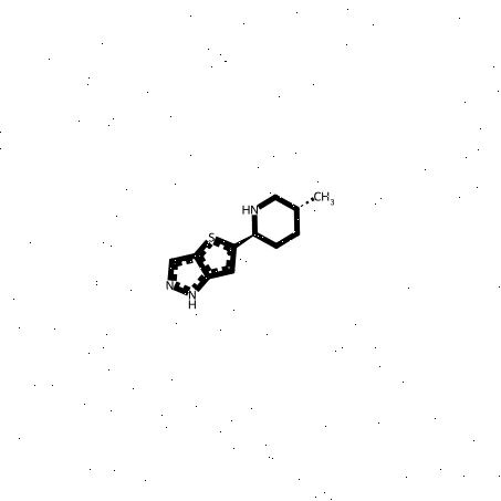 C[C@@H]1CC[C@@H](c2cc3[nH]ncc3s2)NC1